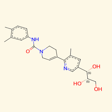 Cc1ccc(NC(=O)N2CC=C(c3ncc([C@H](O)[C@@H](O)CO)cc3C)CC2)cc1C